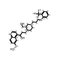 COc1ccc2nccc(C(O)CC[C@@H]3CCN(CCCSc4ccccc4C(F)(F)F)C[C@@H]3CO)c2c1